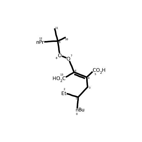 CCCCC(CC)C/C(C(=O)O)=C(/OOC(C)(C)CCC)C(=O)O